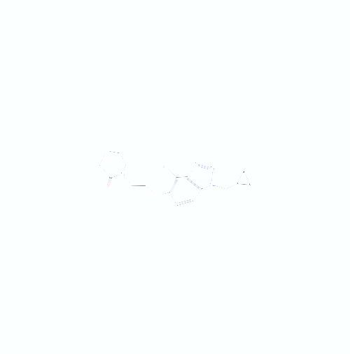 O=C1COCCN1CCOc1ccc2c(nnn2CC2CC2)c1Br